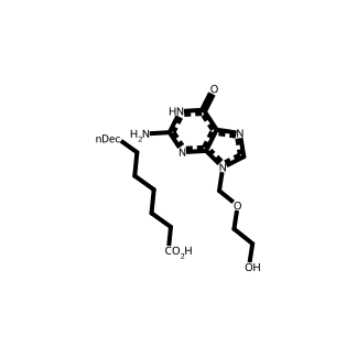 CCCCCCCCCCCCCCCC(=O)O.Nc1nc2c(ncn2COCCO)c(=O)[nH]1